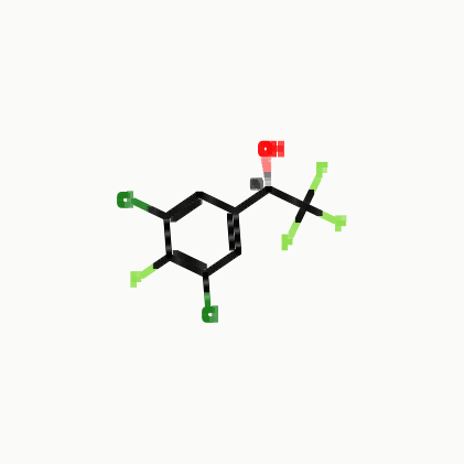 O[C@@H](c1cc(Cl)c(F)c(Cl)c1)C(F)(F)F